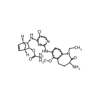 CCN1C(=O)C(N)CCc2c1ccc(Nc1ncc(Cl)c(N[C@H]3[C@@H](OC(N)=O)[C@@H]4C=C[C@H]3C4)n1)c2OC